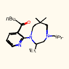 CCCCC(=O)c1cccnc1N1CC(C)(C)CN(C(C)C)CC1CC